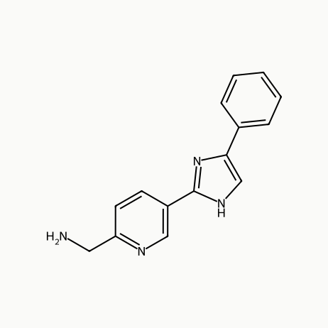 NCc1ccc(-c2nc(-c3ccccc3)c[nH]2)cn1